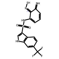 N=C1C=CC=C(NS(=O)(=O)c2c[nH]c3cc(C(F)(F)F)ccc23)/C1=N/S